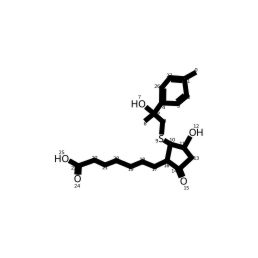 Cc1ccc(C(C)(O)CSC2C(O)CC(=O)C2CCCCCCC(=O)O)cc1